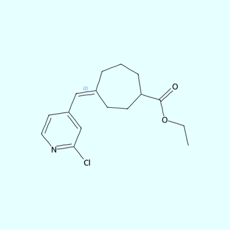 CCOC(=O)C1CCC/C(=C/c2ccnc(Cl)c2)CC1